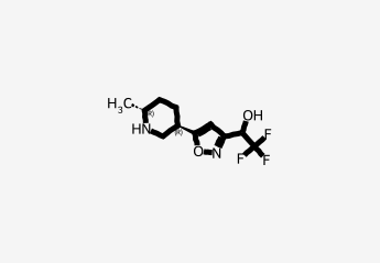 C[C@@H]1CC[C@@H](c2cc(C(O)C(F)(F)F)no2)CN1